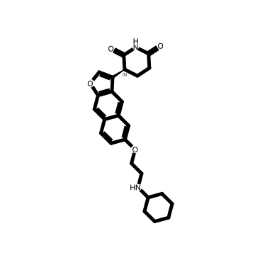 O=C1CC[C@@H](c2coc3cc4ccc(OCCNC5CCCCC5)cc4cc23)C(=O)N1